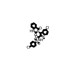 Cn1c(C(=O)NS(=O)(=O)c2ccc(Cl)cc2)c(-n2c(=O)[nH]c3ccccc3c2=O)c2cc(Cl)ccc21